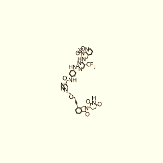 CN(c1ncccc1CNc1nc(Nc2ccc(NC(=O)c3cn(CCOCC#Cc4cccc5c4CN(C4CCC(=O)NC4=O)C5=O)nn3)cc2)ncc1C(F)(F)F)S(C)(=O)=O